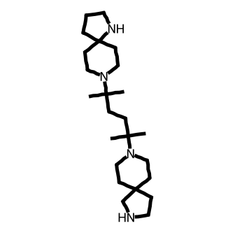 CC(C)(CCC(C)(C)N1CCC2(CCCN2)CC1)N1CCC2(CCNC2)CC1